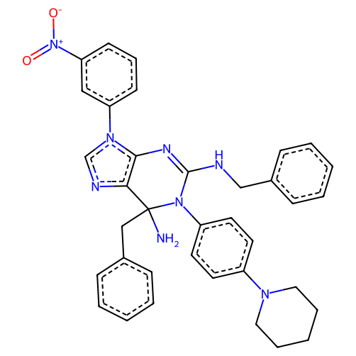 NC1(Cc2ccccc2)c2ncn(-c3cccc([N+](=O)[O-])c3)c2N=C(NCc2ccccc2)N1c1ccc(N2CCCCC2)cc1